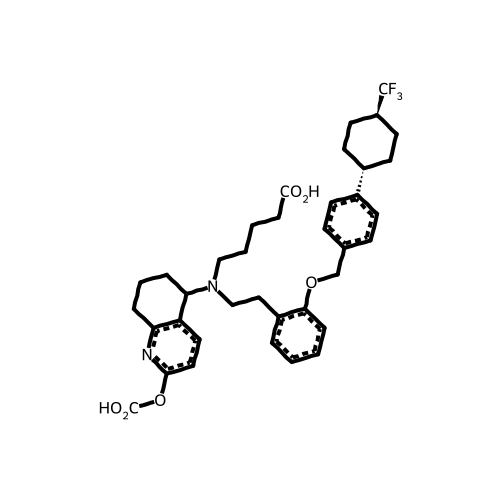 O=C(O)CCCCN(CCc1ccccc1OCc1ccc([C@H]2CC[C@H](C(F)(F)F)CC2)cc1)C1CCCc2nc(OC(=O)O)ccc21